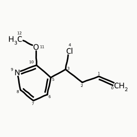 C=CCC(Cl)c1cccnc1OC